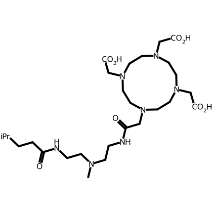 CC(C)CCC(=O)NCCN(C)CCNC(=O)CN1CCN(CC(=O)O)CCN(CC(=O)O)CCN(CC(=O)O)CC1